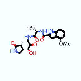 CCCC[C@H](NC(=O)c1cc2c(OC)cccc2[nH]1)C(=O)N[C@@H](C[C@@H]1CCNC1=O)C(=O)CO